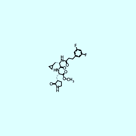 COC(=O)[C@H](C[C@@H]1CCNC1=O)NC(=O)[C@H](CC1CC1)NC(=O)CCc1cc(F)cc(F)c1